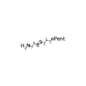 CCCCCCCCSSCCN